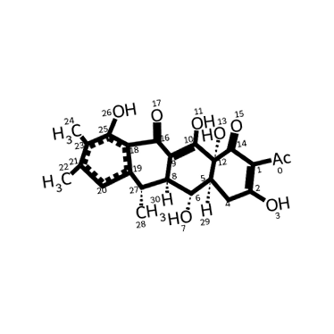 CC(=O)C1=C(O)C[C@H]2[C@H](O)[C@@H]3C(=C(O)[C@@]2(O)C1=O)C(=O)c1c(cc(C)c(C)c1O)[C@H]3C